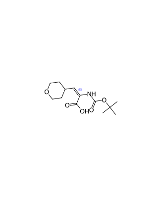 CC(C)(C)OC(=O)N/C(=C/C1CCOCC1)C(=O)O